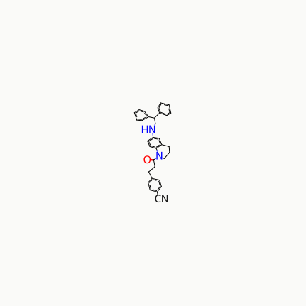 N#Cc1ccc(CCC(=O)N2CCCc3cc(NCC(c4ccccc4)c4ccccc4)ccc32)cc1